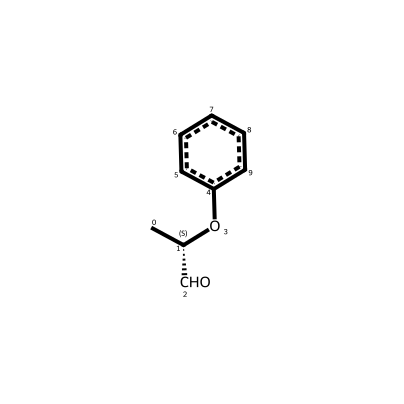 C[C@@H](C=O)Oc1ccccc1